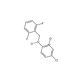 [O-][n+]1cc(Cl)ccc1[S+]([O-])Cc1c(F)cccc1F